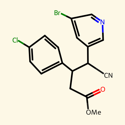 COC(=O)CC(c1ccc(Cl)cc1)C(C#N)c1cncc(Br)c1